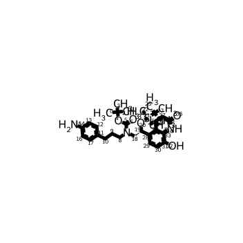 CC(C)(C)OC(=O)N(CCCc1ccc(N)cc1)C[C@H](O[Si](C)(C)C(C)(C)C)c1ccc(O)c2[nH]c(=O)ccc12